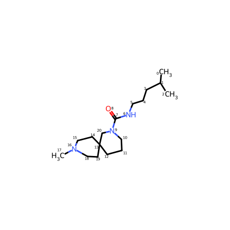 CC(C)CCCNC(=O)N1CCCC2(CCN(C)CC2)C1